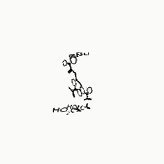 C=C(C)C(=O)O.C=C(C)C(=O)O.C=C(C)C(=O)OCC(CC(=C)C(=O)OCCCC)OC(=O)C(=C)C